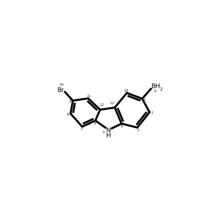 Bc1ccc2[nH]c3ccc(Br)cc3c2c1